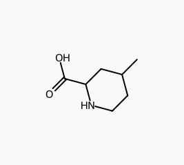 CC1CCNC(C(=O)O)C1